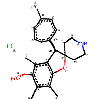 Cc1c(C)c2c(c(C)c1O)C(c1ccc(C(C)C)cc1)C1(CCNCC1)O2.Cl